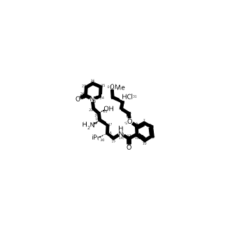 COCCCCOc1ccccc1C(=O)NC[C@@H](C[C@H](N)[C@@H](O)CN1CCCCC1=O)C(C)C.Cl